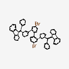 Brc1ccc(-c2ccc(Br)cc2-c2cccc(C(=C3c4ccccc4-c4ccccc43)c3ccccc3)c2)c(-c2cccc(C(=C3c4ccccc4-c4ccccc43)c3ccccc3)c2)c1